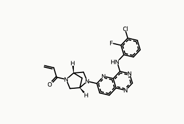 C=CC(=O)N1C[C@@H]2C[C@H]1CN2c1ccc2ncnc(Nc3cccc(Cl)c3F)c2n1